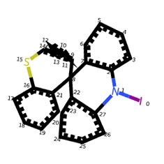 IN1c2ccccc2C2(c3ccccc3Sc3ccccc32)c2ccccc21